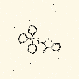 C/C(=N\O[Si](c1ccccc1)(c1ccccc1)c1ccccc1)C(=O)c1ccccc1